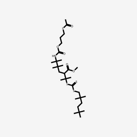 COC(=O)C(CC(C)(C)C(C)(C)NC(=O)OCCCSC(C)=O)C(C)(C)SC(=S)SCC(C)(C)CCC(C)(C)C